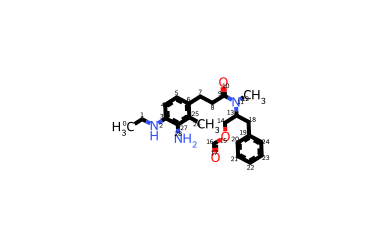 CCNc1ccc(CCC(=O)N(C)C(COC=O)Cc2ccccc2)c(C)c1N